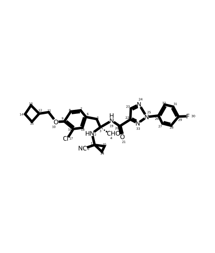 N#CC1(N[C@@](C=O)(Cc2ccc(OCC3CCC3)c(Cl)c2)NC(=O)c2cnn(-c3ccc(F)cc3)n2)CC1